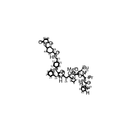 CC[C@H](C)[C@@H]([C@H](CC(=O)N1CCC[C@H]1[C@H](OC)[C@@H](C)C(=O)N[C@@H](Cc1ccccc1)C(=O)Nc1ccc(CNC(=O)C2CCC(CN3C(=O)C=CC3=O)CC2)cc1)OC)N(C)C(=O)[C@@H](NC(=O)[C@@H]1[C@H]2CC[C@H](C2)N1C)C(C)C